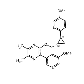 COc1ccc([C@H]2C[C@@H]2COc2nc(C)c(C)nc2-c2cncc(OC)c2)nc1